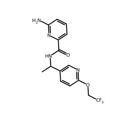 CC(NC(=O)c1cccc(N)n1)c1ccc(OCC(F)(F)F)nc1